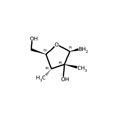 B[C@@H]1O[C@H](CO)[C@@H](C)[C@@]1(C)O